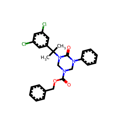 CC(C)(c1cc(Cl)cc(Cl)c1)N1CN(C(=O)OCc2ccccc2)CN(c2ccccc2)C1=O